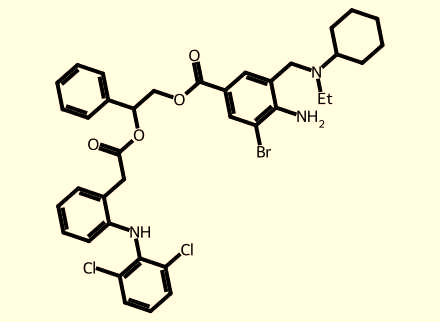 CCN(Cc1cc(C(=O)OCC(OC(=O)Cc2ccccc2Nc2c(Cl)cccc2Cl)c2ccccc2)cc(Br)c1N)C1CCCCC1